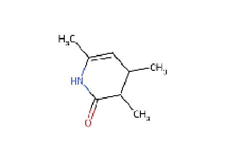 CC1=CC(C)C(C)C(=O)N1